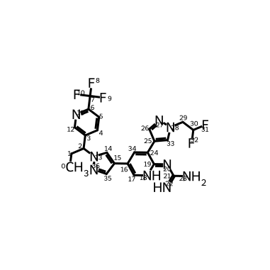 CCC(c1ccc(C(F)(F)F)nc1)n1cc(-c2c[nH]/c(=N\C(=N)N)c(-c3cnn(CC(F)F)c3)c2)cn1